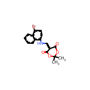 CC1(C)OC(=O)C(=CNc2ccc(Br)c3ccccc23)C(=O)O1